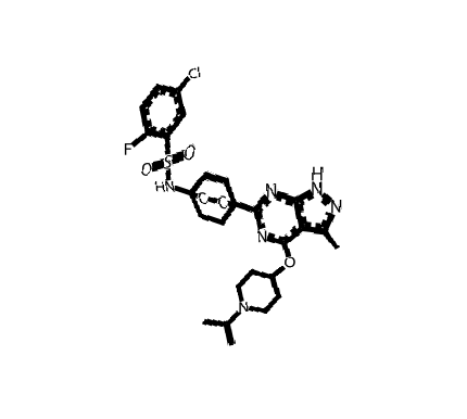 Cc1n[nH]c2nc(C34CCC(NS(=O)(=O)c5cc(Cl)ccc5F)(CC3)CC4)nc(OC3CCN(C(C)C)CC3)c12